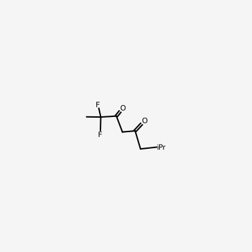 CC(C)CC(=O)CC(=O)C(C)(F)F